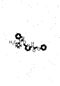 Cn1nnnc1-n1c(OCc2cccc(NC(=O)COc3ccccc3)n2)nc2ccccc21